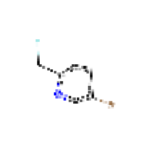 FCc1ccc(Br)cn1